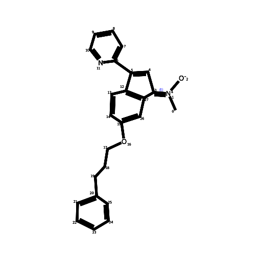 C/[N+]([O-])=C1/C=C(c2ccccn2)c2ccc(OCCCc3ccccc3)cc21